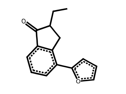 CCC1Cc2c(cccc2-c2ccco2)C1=O